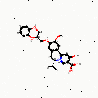 COc1cc2c(cc1OC[C@@H]1COc3ccccc3O1)C[C@@H](C(C)C)n1cc(C(=O)O)c(=O)cc1-2